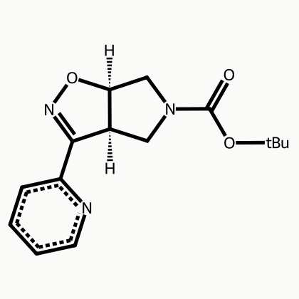 CC(C)(C)OC(=O)N1C[C@@H]2ON=C(c3ccccn3)[C@@H]2C1